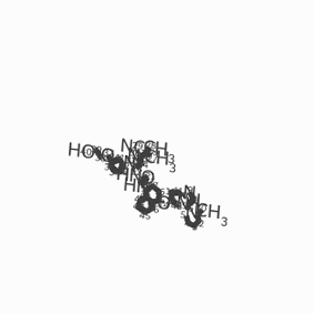 CC1CCCCN1c1nnc2ccc(O[C@@H]3CC[C@H](NC(=O)Nc4cc(C(C)(C)C#N)nn4-c4cccc(OCCO)c4)c4ccccc43)cn12